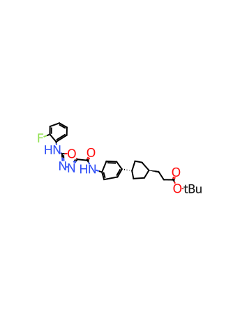 CC(C)(C)OC(=O)CC[C@H]1CC[C@H](c2ccc(NC(=O)c3nnc(Nc4ccccc4F)o3)cc2)CC1